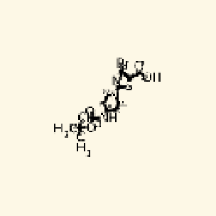 CC(C)(C)OC(=O)NC1CCN(c2nc(Br)c(C(=O)O)s2)CC1